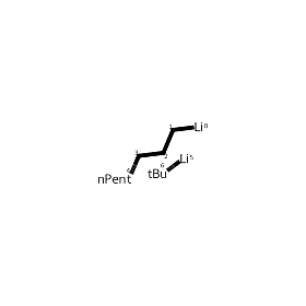 [Li][CH2]CCCCCCC.[Li][C](C)(C)C